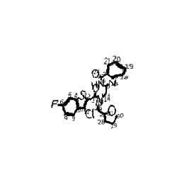 O=C(c1sc2cc(F)ccc2c1Cl)N(Cc1nc2ccccc2c(=O)[nH]1)CC1CCCO1